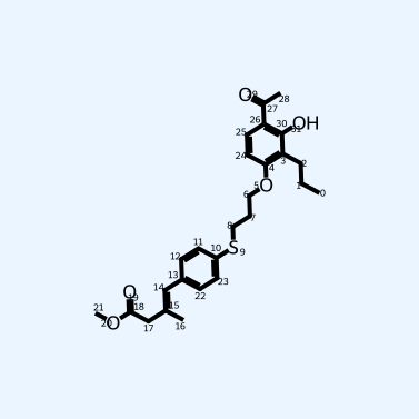 CCCc1c(OCCCSc2ccc(/C=C(\C)CC(=O)OC)cc2)ccc(C(C)=O)c1O